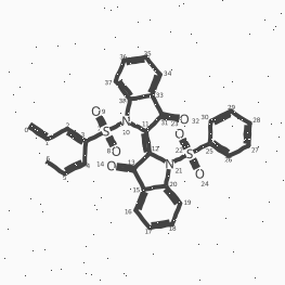 C=C/C=C(\C=C/C)S(=O)(=O)N1/C(=C2\C(=O)c3ccccc3N2S(=O)(=O)c2ccccc2)C(=O)c2ccccc21